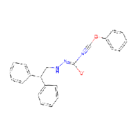 [O-]C(=NNCC(c1ccccc1)c1ccccc1)[N+]#COc1ccccc1